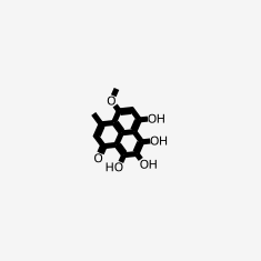 COc1cc(O)c2c(O)c(O)c(O)c3c2c1C(C)=CC3=O